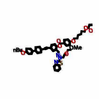 C=CC(=O)OCCCCCCOc1ccc(C(=O)Oc2ccc(C#Cc3ccc(-c4ccc(OCCCC)cc4)cc3)cc2/C=N/N(CCOCCOC)c2nc3ccccc3s2)cc1